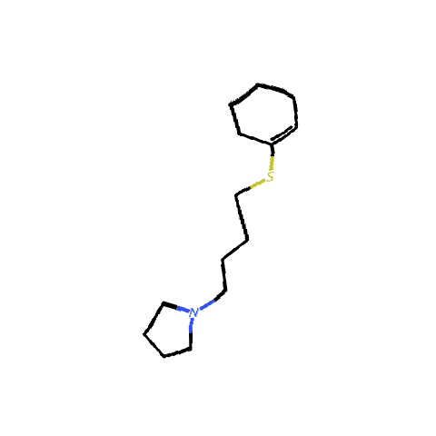 C1=C(SCCCCN2CCCC2)CCCC1